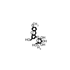 COc1ccc(Cc2c(Cl)cc(CO)cc2O[C@@H]2O[C@](C)(CO)[C@@H](O)[C@H](O)[C@H]2O)cc1